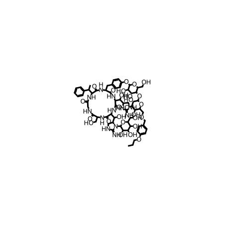 CCCOc1ccc(COCC2OC(OC3C(CO)OC(Oc4ccc(CC5NC(=O)C(C(C)c6ccccc6)NC(=O)CNC(=O)C(CO)NC(=O)C(C(O)C6CNC(=N)N6C6OC(CO)C(O)C(O)C6O)NC(=O)C(C(O)C6CNC(=N)N6)NC5=O)cc4)C(O)C3O)C(O)C(O)C2O)cc1